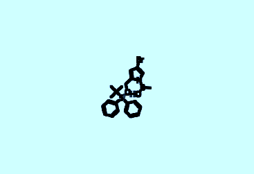 CB(O)n1cc(Br)cc1CO[Si](c1ccccc1)(c1ccccc1)C(C)(C)C